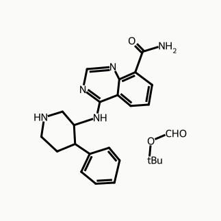 CC(C)(C)OC=O.NC(=O)c1cccc2c(NC3CNCCC3c3ccccc3)ncnc12